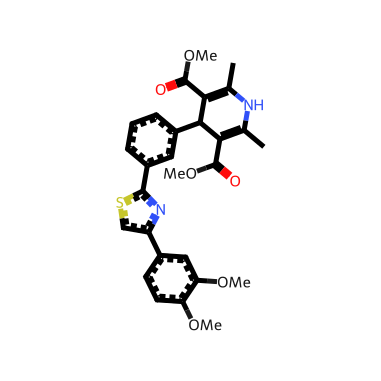 COC(=O)C1=C(C)NC(C)=C(C(=O)OC)C1c1cccc(-c2nc(-c3ccc(OC)c(OC)c3)cs2)c1